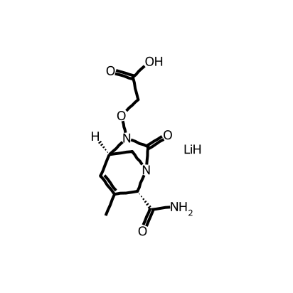 CC1=C[C@@H]2CN(C(=O)N2OCC(=O)O)[C@@H]1C(N)=O.[LiH]